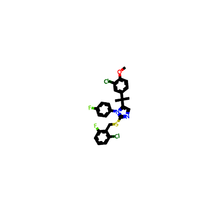 COc1ccc(C(C)(C)c2cnc(SCc3c(F)cccc3Cl)n2-c2ccc(F)cc2)cc1Cl